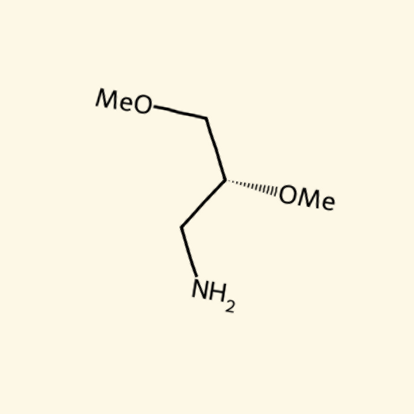 COC[C@@H](CN)OC